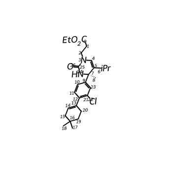 CCOC(=O)CCN1C=C(C(C)C)[C@@](C)(c2ccc(C3=CCC(C)(C)CC3)c(Cl)c2)NC1=O